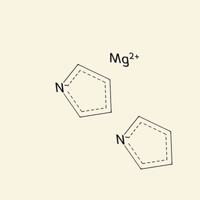 [Mg+2].c1cc[n-]c1.c1cc[n-]c1